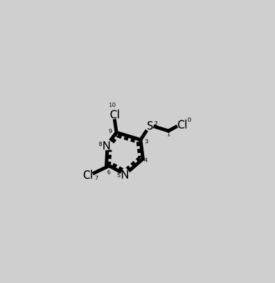 ClCSc1cnc(Cl)nc1Cl